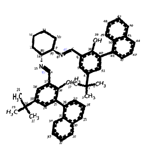 CC(C)(C)c1cc(/C=N/[C@@H]2CCCC[C@H]2/N=C/c2cc(C(C)(C)C)cc(-c3cccc4ccccc34)c2O)c(O)c(-c2cccc3ccccc23)c1